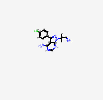 CC(C)(CN)n1nc(-c2ccc(Cl)cc2)c2c(N)ncnc21